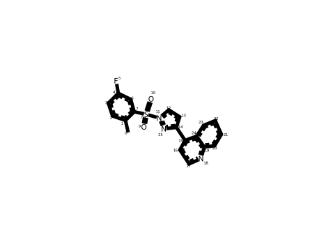 Cc1ccc(F)cc1S(=O)(=O)n1ccc(-c2ccnc3ccccc23)n1